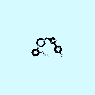 NOc1ccccc1N1CCCN(Cc2csc(-c3ccc(Cl)cc3)n2)CC1